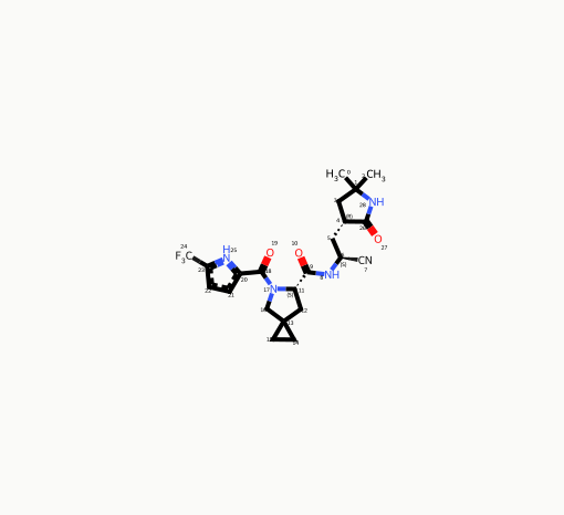 CC1(C)C[C@@H](C[C@@H](C#N)NC(=O)[C@@H]2CC3(CC3)CN2C(=O)c2ccc(C(F)(F)F)[nH]2)C(=O)N1